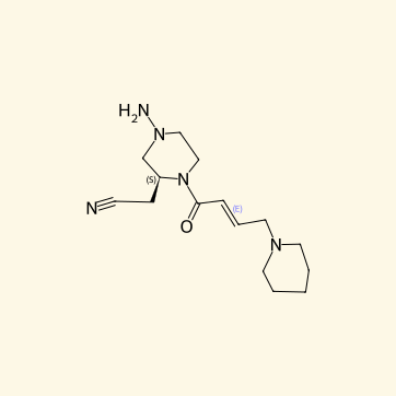 N#CC[C@H]1CN(N)CCN1C(=O)/C=C/CN1CCCCC1